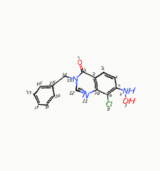 O=c1c2ccc(NO)c(Cl)c2ncn1Cc1ccccc1